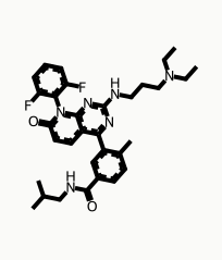 CCN(CC)CCCNc1nc(-c2cc(C(=O)NCC(C)C)ccc2C)c2ccc(=O)n(-c3c(F)cccc3F)c2n1